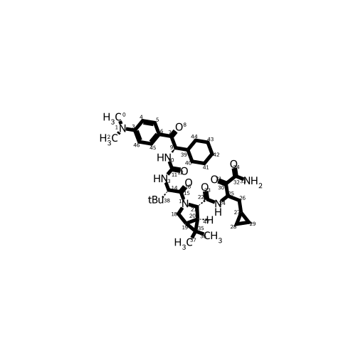 CN(C)c1ccc(C(=O)[C@@H](NC(=O)N[C@H](C(=O)N2CC3[C@@H]([C@H]2C(=O)NC(CC2CC2)C(=O)C(N)=O)C3(C)C)C(C)(C)C)C2CCCCC2)cc1